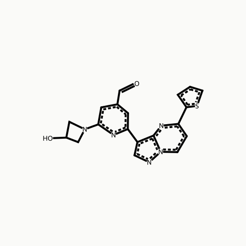 O=Cc1cc(-c2cnn3ccc(-c4cccs4)nc23)nc(N2CC(O)C2)c1